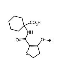 CCOC1=C(C(=O)NC2(C(=O)O)CCCCC2)SCC1